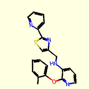 Cc1ccccc1Oc1ncccc1NCc1csc(-c2ccccn2)n1